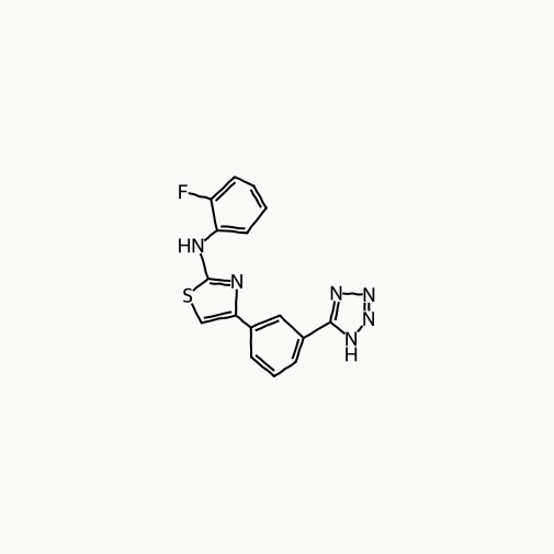 Fc1ccccc1Nc1nc(-c2cccc(-c3nnn[nH]3)c2)cs1